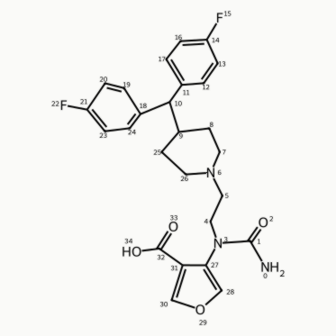 NC(=O)N(CCN1CCC(C(c2ccc(F)cc2)c2ccc(F)cc2)CC1)c1cocc1C(=O)O